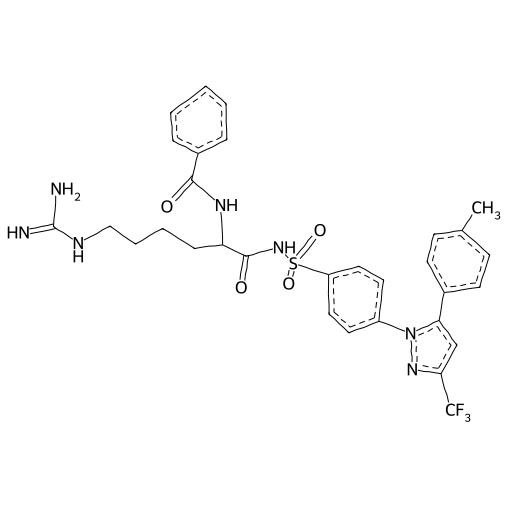 Cc1ccc(-c2cc(C(F)(F)F)nn2-c2ccc(S(=O)(=O)NC(=O)C(CCCCNC(=N)N)NC(=O)c3ccccc3)cc2)cc1